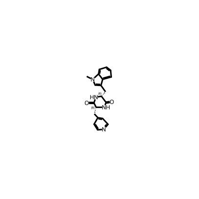 Cn1cc(C[C@H]2NC(=O)[C@@H](Cc3ccncc3)NC2=O)c2ccccc21